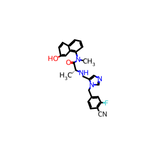 C[C@@H](NCc1cncn1Cc1ccc(C#N)c(F)c1)C(=O)N(C)c1cccc2ccc(O)cc12